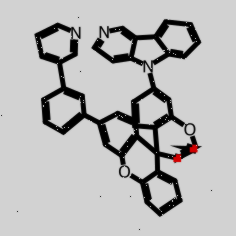 c1cncc(-c2cccc(-c3ccc4c(c3)Oc3ccccc3C43c4ccccc4Oc4cc(-n5c6ccccc6c6cnccc65)ccc43)c2)c1